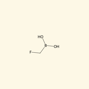 OB(O)CF